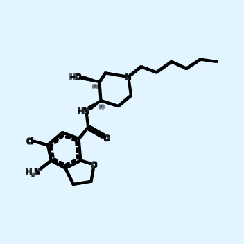 CCCCCCN1CC[C@@H](NC(=O)c2cc(Cl)c(N)c3c2OCC3)[C@@H](O)C1